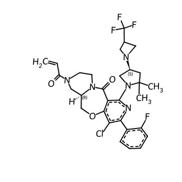 C=CC(=O)N1CCN2C(=O)c3c(N4C[C@@H](N5CC(C(F)(F)F)C5)CC4(C)C)nc(-c4ccccc4F)c(Cl)c3OC[C@H]2C1